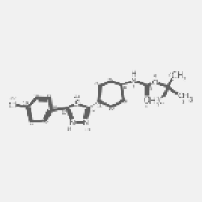 CC(C)(C)OC(=O)N[C@H]1CC[C@H](c2nnc(-c3ccc(Cl)cc3)s2)CC1